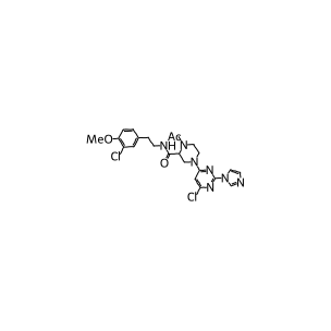 COc1ccc(CCNC(=O)C2CN(c3cc(Cl)nc(-n4ccnc4)n3)CCN2C(C)=O)cc1Cl